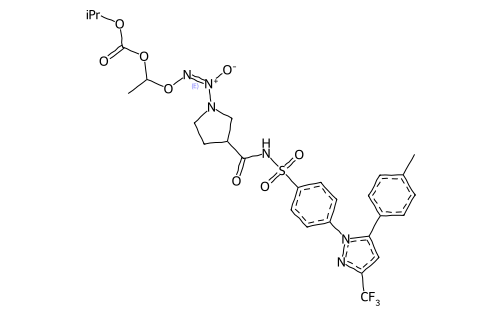 Cc1ccc(-c2cc(C(F)(F)F)nn2-c2ccc(S(=O)(=O)NC(=O)C3CCN(/[N+]([O-])=N\OC(C)OC(=O)OC(C)C)C3)cc2)cc1